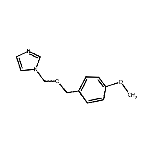 COc1ccc(COCn2ccnc2)cc1